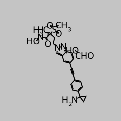 C[C@@](CCn1cc2cc(C#Cc3ccc(C4(N)CC4)cc3)ccc2n1)(C(=O)NO)S(C)(=O)=O.O=CO